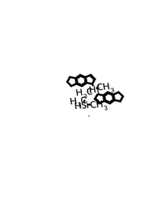 C[SiH]C.[CH3][Hf]([CH3])([CH]1C=Cc2cc3c(cc21)CCC3)[CH]1C=Cc2cc3c(cc21)CCC3